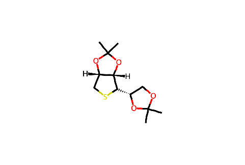 CC1(C)OC[C@@H](C2SC[C@@H]3OC(C)(C)O[C@H]23)O1